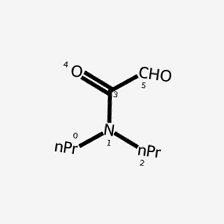 CCCN(CCC)C(=O)C=O